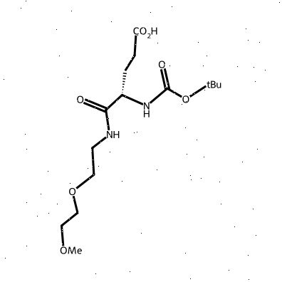 COCCOCCNC(=O)[C@H](CCC(=O)O)NC(=O)OC(C)(C)C